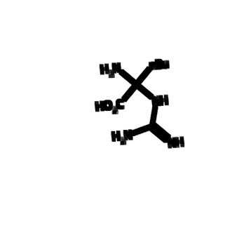 CCCCC(N)(NC(=N)N)C(=O)O